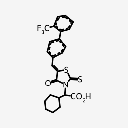 O=C(O)C(C1CCCCC1)N1C(=O)C(=Cc2ccc(-c3ccccc3C(F)(F)F)cc2)SC1=S